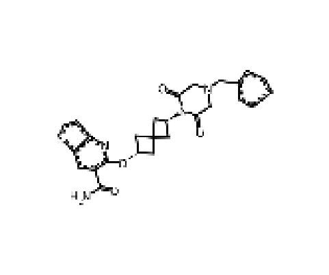 NC(=O)c1cc2sccc2nc1O[C@H]1CC2(C1)C[C@H](N1C(=O)CN(Cc3ccccc3)CC1=O)C2